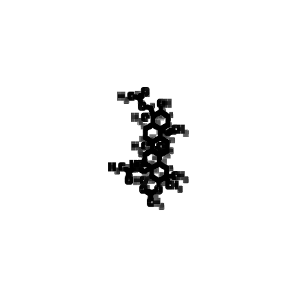 C=C[C@]12CC[C@H](O)[C@](C)(COC(C)=O)C1CC[C@]1(C)C2CC=C2C3CC(C)(C)[C@@H](OC(C)=O)[C@H](O)[C@]3(COC(C)=O)[C@H](O)C[C@]21C